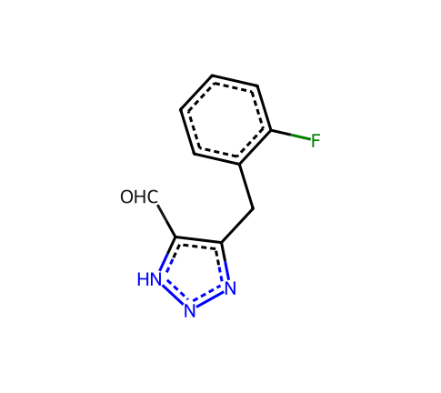 O=Cc1[nH]nnc1Cc1ccccc1F